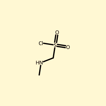 CNCS(=O)(=O)Cl